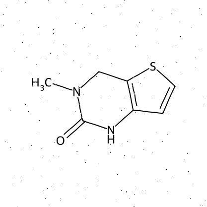 CN1Cc2sccc2NC1=O